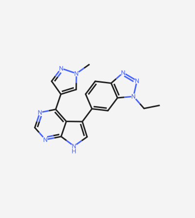 CCn1nnc2ccc(-c3c[nH]c4ncnc(-c5cnn(C)c5)c34)cc21